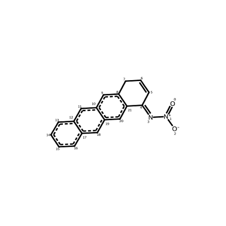 O=[N+]([O-])N=C1C=CCc2cc3cc4ccccc4cc3cc21